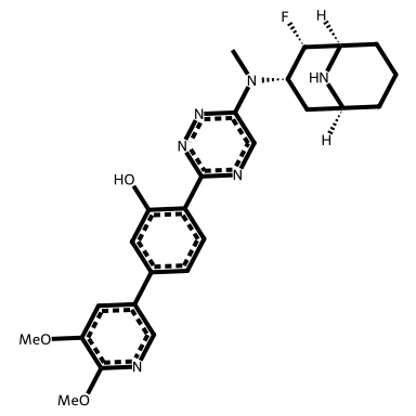 COc1cc(-c2ccc(-c3ncc(N(C)[C@H]4C[C@@H]5CCC[C@@H](N5)[C@H]4F)nn3)c(O)c2)cnc1OC